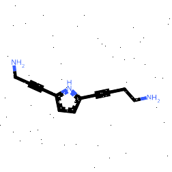 NCC#Cc1ccc(C#CCCN)[nH]1